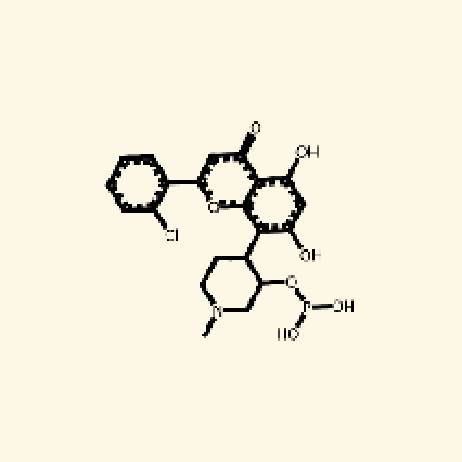 CN1CCC(c2c(O)cc(O)c3c(=O)cc(-c4ccccc4Cl)oc23)C(OP(O)O)C1